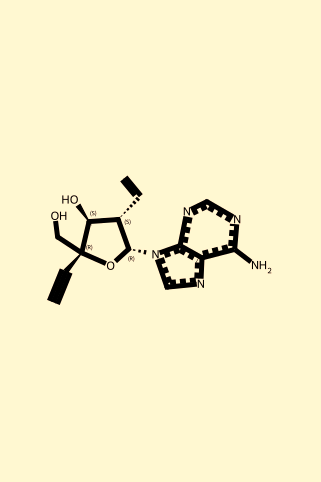 C#C[C@]1(CO)O[C@@H](n2cnc3c(N)ncnc32)[C@@H](C=C)[C@@H]1O